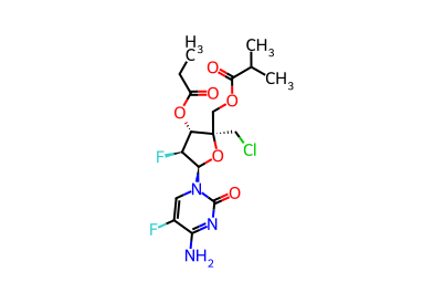 CCC(=O)O[C@H]1[C@H](F)[C@H](n2cc(F)c(N)nc2=O)O[C@]1(CCl)COC(=O)C(C)C